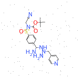 CC(C)(C)OC(=O)N(CC#N)[S+]([O-])c1ccc(C(N)NN(N)Cc2ccncc2)cc1